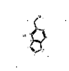 Cl.NCc1ccc2[nH]nnc2c1